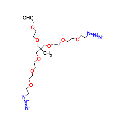 CC(COCCOCC=O)(COCCOCCOCCN=[N+]=[N-])COCCOCCOCCN=[N+]=[N-]